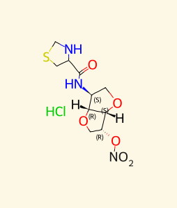 Cl.O=C(N[C@H]1CO[C@H]2[C@@H]1OC[C@H]2O[N+](=O)[O-])C1CSCN1